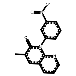 Cc1cc2cccnc2n(-c2cccc([N+](=O)[O-])c2)c1=O